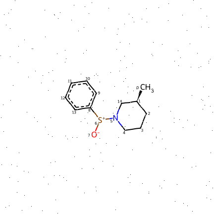 C[C@H]1CCCN([S+]([O-])c2ccccc2)C1